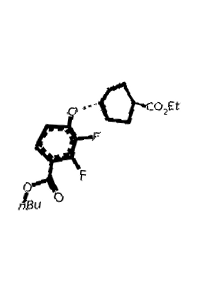 CCCCOC(=O)c1ccc(O[C@H]2CC[C@H](C(=O)OCC)CC2)c(F)c1F